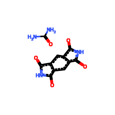 NC(N)=O.O=c1[nH]c(=O)c2cc3c(=O)[nH]c(=O)c3cc12